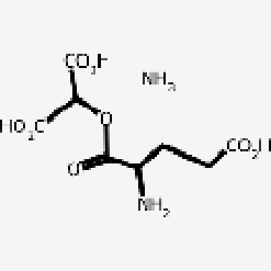 N.NC(CCC(=O)O)C(=O)OC(C(=O)O)C(=O)O